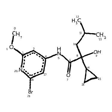 COc1cc(NC(=O)C(O)(CC(C)C)C2CC2)cc(Br)n1